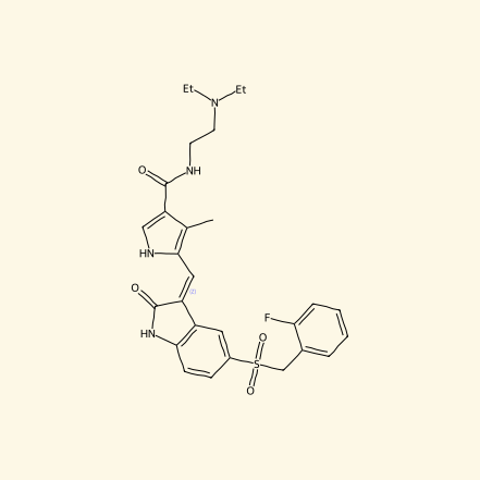 CCN(CC)CCNC(=O)c1c[nH]c(/C=C2\C(=O)Nc3ccc(S(=O)(=O)Cc4ccccc4F)cc32)c1C